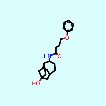 O=C(CCCOc1ccccc1)NC1CCC2CC3CC(O)(C2)CC31